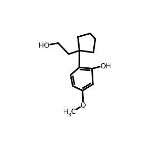 COc1ccc(C2(CCO)CCCC2)c(O)c1